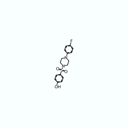 O=S(=O)(c1ccc(O)cc1)N1CCN(c2ccc(F)cc2)CC1